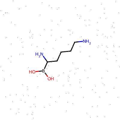 NCCCCC(N)B(O)O